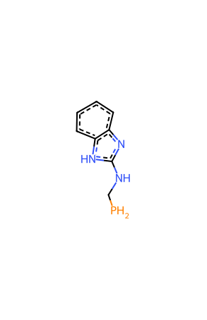 PCNc1nc2ccccc2[nH]1